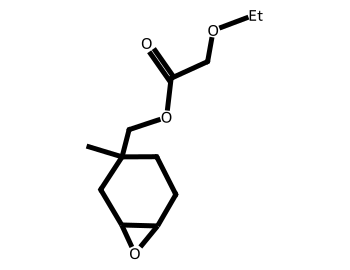 CCOCC(=O)OCC1(C)CCC2OC2C1